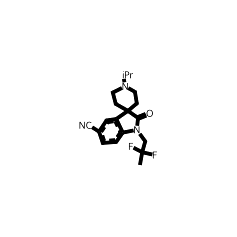 CC(C)N1CCC2(CC1)C(=O)N(CC(C)(F)F)c1ccc(C#N)cc12